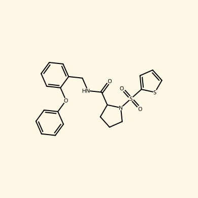 O=C(NCc1ccccc1Oc1ccccc1)C1CCCN1S(=O)(=O)c1cccs1